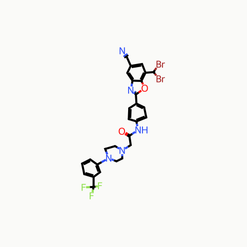 N#Cc1cc(C(Br)Br)c2oc(-c3ccc(NC(=O)CN4CCN(c5cccc(C(F)(F)F)c5)CC4)cc3)nc2c1